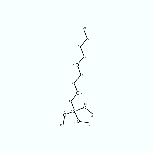 CCCCOCCOC[Si](OC)(OC)OC